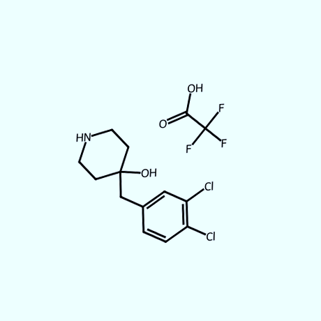 O=C(O)C(F)(F)F.OC1(Cc2ccc(Cl)c(Cl)c2)CCNCC1